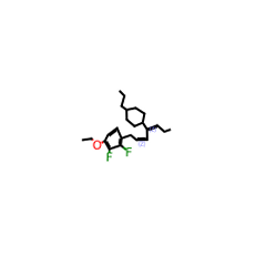 CC/C=C(\C=C/Cc1ccc(OCC)c(F)c1F)C1CCC(CCC)CC1